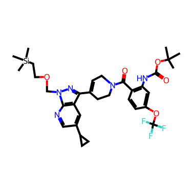 CC(C)(C)OC(=O)Nc1cc(OC(F)(F)F)ccc1C(=O)N1CC=C(c2nn(COCC[Si](C)(C)C)c3ncc(C4CC4)cc23)CC1